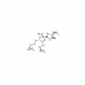 CCCCCCC(C)(CCCCC)N1CNC(N)C1